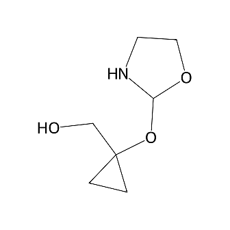 OCC1(OC2NCCO2)CC1